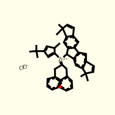 CC1C=C(C(C)(C)C)C=[C]1[Zr+2](=[C](Cc1ccccc1)Cc1ccccc1)[CH]1c2cc3c(cc2-c2cc4c(cc21)C(C)(C)C=C4)C=CC3(C)C.[Cl-].[Cl-]